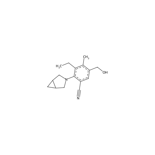 CCc1c(C)c(CO)cc(C#N)c1N1CC2CC2C1